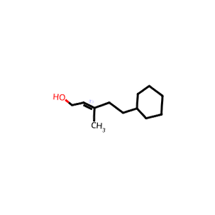 C/C(=C\CO)CCC1CCCCC1